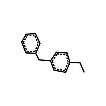 C[CH]c1ccc(Cc2ccccc2)cc1